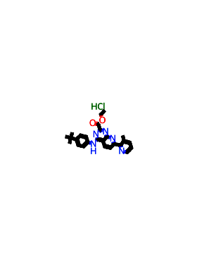 CCOC(=O)c1nc(Nc2ccc(C(C)(C)C)cc2)c2ccc(-c3ncccc3C)nc2n1.Cl